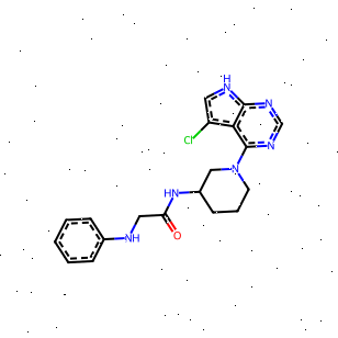 O=C(CNc1ccccc1)NC1CCCN(c2ncnc3[nH]cc(Cl)c23)C1